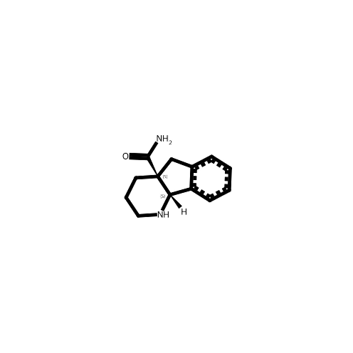 NC(=O)[C@]12CCCN[C@H]1c1ccccc1C2